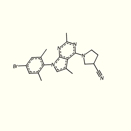 Cc1nc(N2CCC(C#N)C2)c2c(C)cn(-c3c(C)cc(Br)cc3C)c2n1